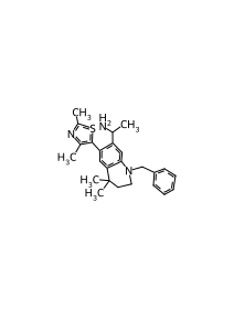 Cc1nc(C)c(-c2cc3c(cc2C(C)N)N(Cc2ccccc2)CCC3(C)C)s1